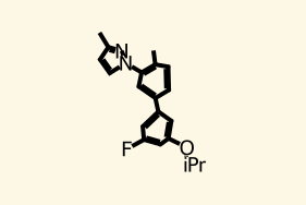 Cc1ccn(-c2cc(-c3cc(F)cc(OC(C)C)c3)ccc2C)n1